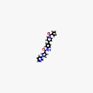 O=C(Nc1ccc(C2CCN(C(=O)c3ccsc3)CC2)cc1)C1CCN(c2cccnn2)C1